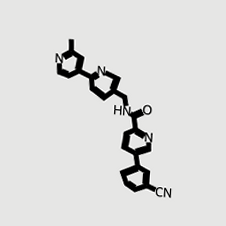 Cc1cc(-c2ccc(CNC(=O)c3ccc(-c4cccc(C#N)c4)cn3)cn2)ccn1